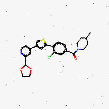 CC1CCN(C(=O)c2ccc(-c3cc(-c4ccnc(C5OCCO5)c4)cs3)c(Cl)c2)CC1